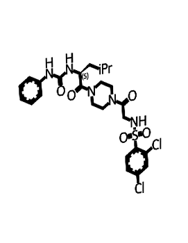 CC(C)C[C@H](NC(=O)Nc1ccccc1)C(=O)N1CCN(C(=O)CNS(=O)(=O)c2ccc(Cl)cc2Cl)CC1